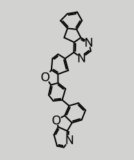 c1ccc2c(c1)Cc1c(-c3ccc4oc5ccc(-c6cccc7c6oc6cccnc67)cc5c4c3)ncnc1-2